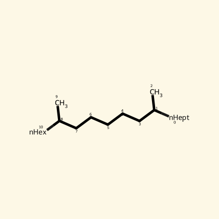 CCCCCCCC(C)C[CH]CCCC(C)CCCCCC